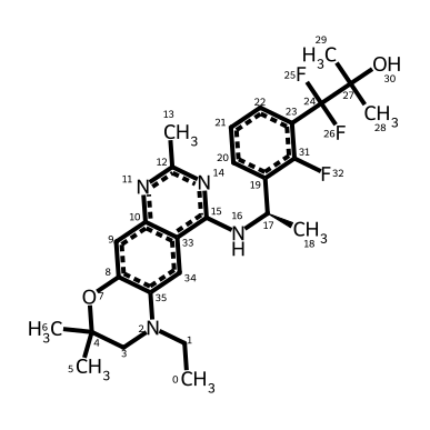 CCN1CC(C)(C)Oc2cc3nc(C)nc(N[C@H](C)c4cccc(C(F)(F)C(C)(C)O)c4F)c3cc21